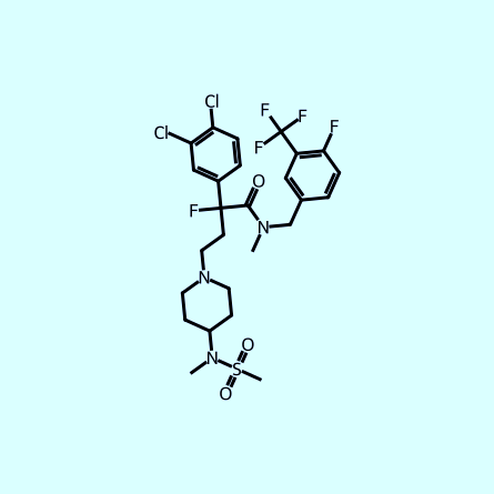 CN(Cc1ccc(F)c(C(F)(F)F)c1)C(=O)C(F)(CCN1CCC(N(C)S(C)(=O)=O)CC1)c1ccc(Cl)c(Cl)c1